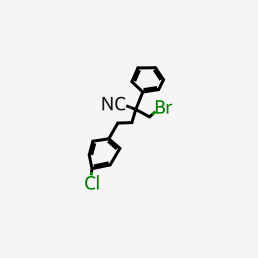 N#CC(CBr)(CCc1ccc(Cl)cc1)c1ccccc1